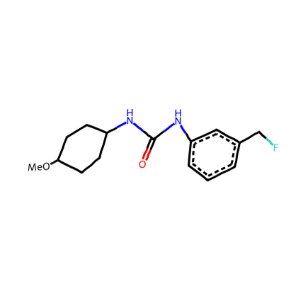 COC1CCC(NC(=O)Nc2cccc(CF)c2)CC1